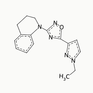 CCn1ccc(-c2nc(N3CCCc4ccccc43)no2)n1